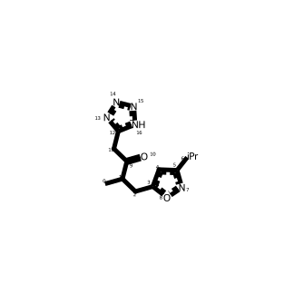 CC(Cc1cc(C(C)C)no1)C(=O)Cc1nnn[nH]1